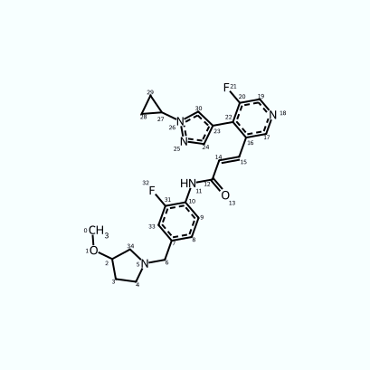 COC1CCN(Cc2ccc(NC(=O)/C=C/c3cncc(F)c3-c3cnn(C4CC4)c3)c(F)c2)C1